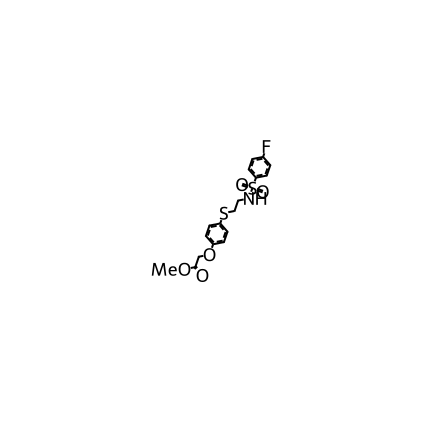 COC(=O)COc1ccc(SCCNS(=O)(=O)c2ccc(F)cc2)cc1